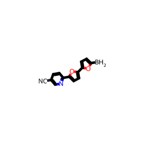 Bc1ccc(-c2ccc(-c3ccc(C#N)cn3)o2)o1